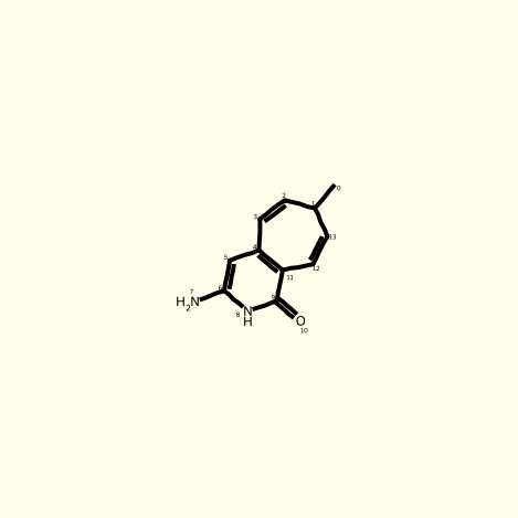 CC1C=Cc2cc(N)[nH]c(=O)c2C=C1